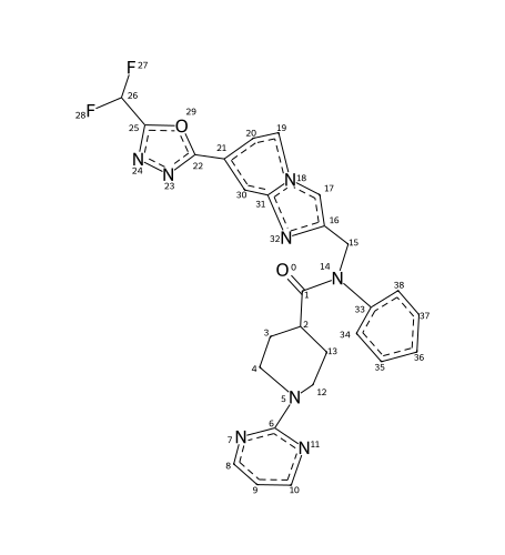 O=C(C1CCN(c2ncccn2)CC1)N(Cc1cn2ccc(-c3nnc(C(F)F)o3)cc2n1)c1ccccc1